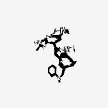 CNc1cc(-c2cc3cc(CN(C)C4CCCCC4)ccc3[nH]2)c2nc(C)[nH]c2n1